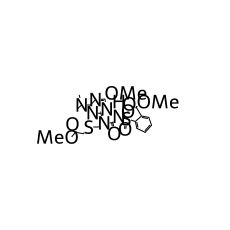 COC(=O)CSCN(C(=O)NS(=O)(=O)c1ccccc1C(=O)OC)c1nc(OC)nc(N(C)C)n1